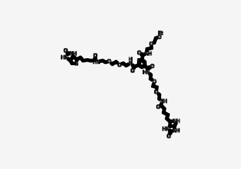 CCOCCOCCNC(=O)c1cc(C(=O)NCCOCCOCCNC(=O)CCCCC2NCC3NC(=O)NC23)cc(C(=O)NCCOCCOCCNC(=O)CCCCC2SCC3NC(=O)NC32)c1